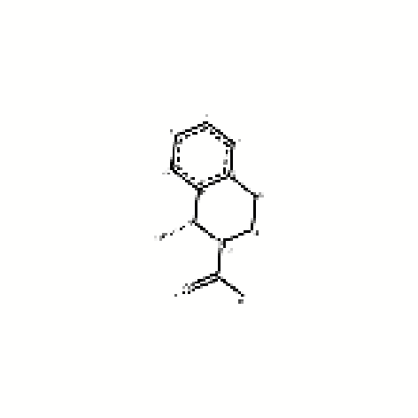 CC(=O)N1CCc2ccccc2[C@H]1C